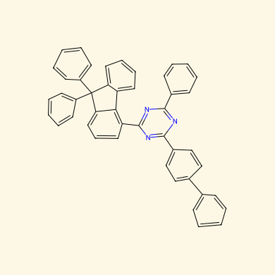 c1ccc(-c2ccc(-c3nc(-c4ccccc4)nc(-c4cccc5c4-c4ccccc4C5(c4ccccc4)c4ccccc4)n3)cc2)cc1